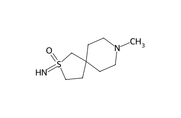 CN1CCC2(CC1)CCS(=N)(=O)C2